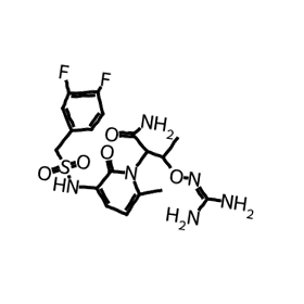 Cc1ccc(NS(=O)(=O)Cc2ccc(F)c(F)c2)c(=O)n1C(C(N)=O)C(C)ON=C(N)N